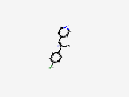 N#C/C(=C\c1ccncc1)c1ccc(Br)cc1